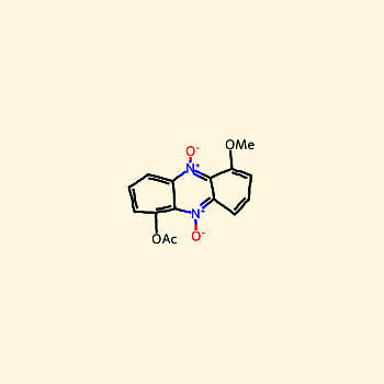 COc1cccc2c1[n+]([O-])c1cccc(OC(C)=O)c1[n+]2[O-]